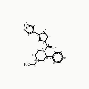 O=C(C1C=C(c2cn[nH]c2)SC1)N1CCN(CC(F)(F)F)CC1c1ccccc1